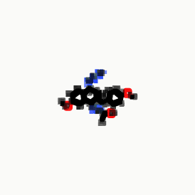 COc1ccc([C@@H]2[C@@H]3C[C@@H](N=[N+]=[N-])c4ccc(OC)cc4C3=NN2C(C)=O)cc1